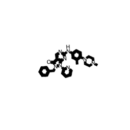 Cc1cc(Nc2ncc3c(=O)n(Cc4ccccc4)n(-c4ccccn4)c3n2)ccc1N1CCN(C)CC1